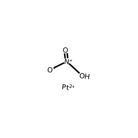 O=[N+]([O-])O.[Pt+2]